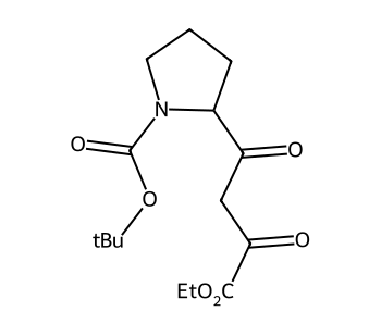 CCOC(=O)C(=O)CC(=O)C1CCCN1C(=O)OC(C)(C)C